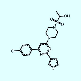 CC(O)S(=O)(=O)N1CCN(c2cc(-c3ccc(Cl)cc3)nc(-c3cnsc3)n2)CC1